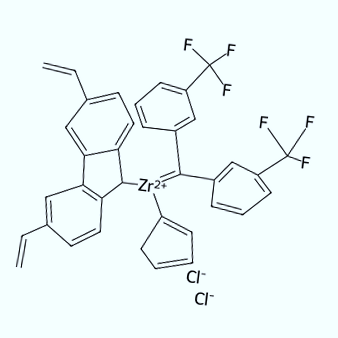 C=Cc1ccc2c(c1)-c1cc(C=C)ccc1[CH]2[Zr+2]([C]1=CC=CC1)=[C](c1cccc(C(F)(F)F)c1)c1cccc(C(F)(F)F)c1.[Cl-].[Cl-]